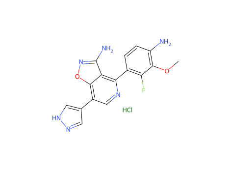 COc1c(N)ccc(-c2ncc(-c3cn[nH]c3)c3onc(N)c23)c1F.Cl